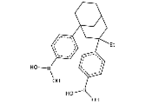 CCC1(c2ccc(B(O)O)cc2)CC2CCCC(c3ccc(B(O)O)cc3)(C2)C1